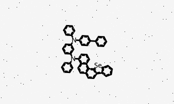 c1ccc(-c2ccc(N(c3ccccc3)c3cccc(N(c4ccccc4)c4cccc5c4ccc4ccc6c7ccccc7[se]c6c45)c3)cc2)cc1